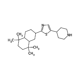 CC1(C)CCC(C)(C)C2CC(c3ncc(C4CCNCC4)s3)CCC21